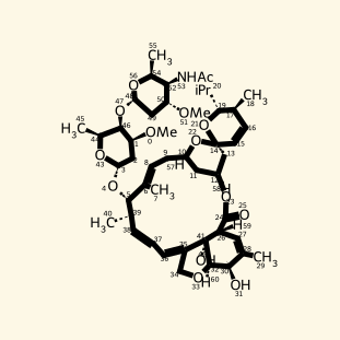 CO[C@H]1C[C@H](O[C@@H]2/C(C)=C/C[C@@H]3C[C@@H](C[C@]4(C=C[C@H](C)[C@@H](C(C)C)O4)O3)OC(=O)[C@@H]3C=C(C)[C@@H](O)[C@H]4OCC(=CC=C[C@@H]2C)[C@]43O)O[C@@H](C)[C@H]1O[C@H]1C[C@@H](OC)[C@H](NC(C)=O)[C@H](C)O1